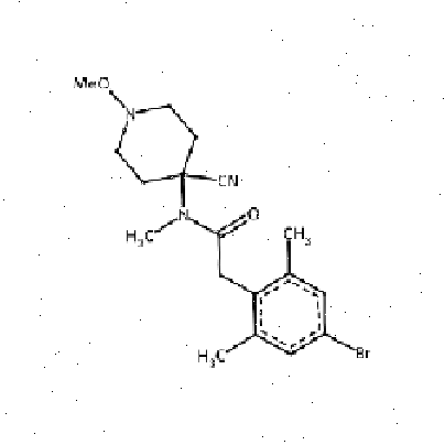 CON1CCC(C#N)(N(C)C(=O)Cc2c(C)cc(Br)cc2C)CC1